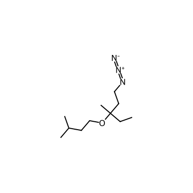 CCC(C)(CCN=[N+]=[N-])OCCC(C)C